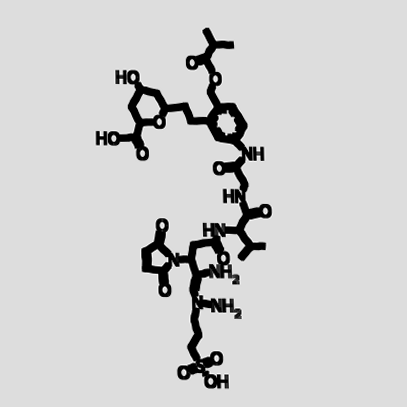 CC(C)C(=O)OCc1ccc(NC(=O)CNC(=O)C(NC(=O)CC(/C(N)=C/N(N)CCCS(=O)(=O)O)N2C(=O)C=CC2=O)C(C)C)cc1CCC1CC(O)CC(C(=O)O)O1